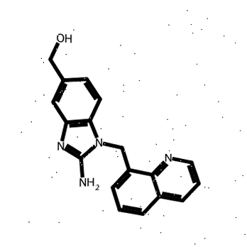 Nc1nc2cc(CO)ccc2n1Cc1cccc2cccnc12